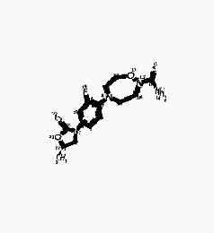 C[C@H]1CN(c2ccc(N3CCON(C(N)=S)CC3)c(F)c2)C(=O)O1